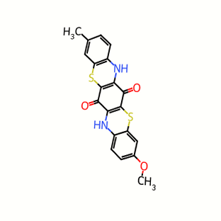 COc1ccc2[nH]c3c(=O)c4sc5cc(C)ccc5[nH]c4c(=O)c3sc2c1